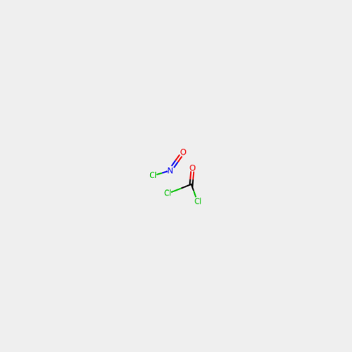 O=C(Cl)Cl.O=NCl